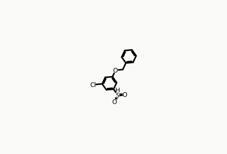 O=[SH](=O)c1cc(Cl)cc(OCc2ccccc2)c1